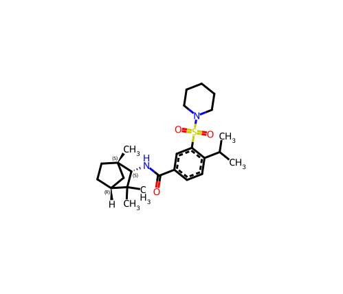 CC(C)c1ccc(C(=O)N[C@@H]2C(C)(C)[C@@H]3CC[C@@]2(C)C3)cc1S(=O)(=O)N1CCCCC1